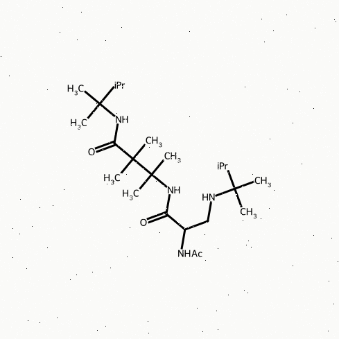 CC(=O)NC(CNC(C)(C)C(C)C)C(=O)NC(C)(C)C(C)(C)C(=O)NC(C)(C)C(C)C